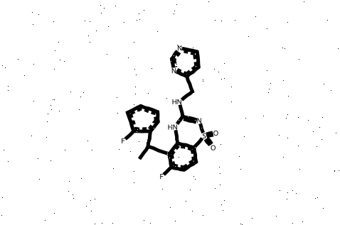 CC(c1ccccc1F)c1c(F)ccc2c1NC(NCc1ccncn1)=NS2(=O)=O